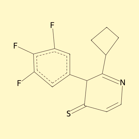 Fc1cc(C2C(=S)C=CN=C2C2CCC2)cc(F)c1F